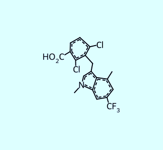 Cc1cc(C(F)(F)F)cc2c1c(Cc1c(Cl)ccc(C(=O)O)c1Cl)cn2C